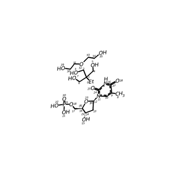 CCC(CO)(CO)CO.Cc1cn([C@H]2C[C@H](O)[C@@H](COP(=O)(O)O)O2)c(=O)[nH]c1=O.OCCOCCO